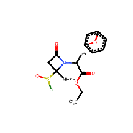 CC(=O)NC1([S+]([O-])Cl)CC(=O)N1C(C(=O)OCC(Cl)(Cl)Cl)C(C)C.c1cc2cc(c1)O2